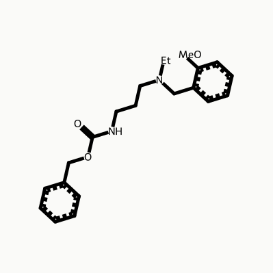 CCN(CCCNC(=O)OCc1ccccc1)Cc1ccccc1OC